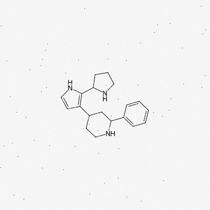 c1ccc(C2CC(c3cc[nH]c3C3CCCN3)CCN2)cc1